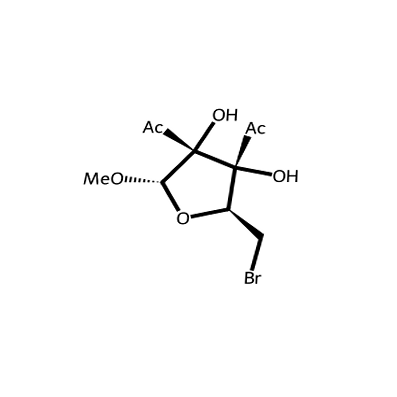 CO[C@H]1O[C@H](CBr)[C@](O)(C(C)=O)[C@]1(O)C(C)=O